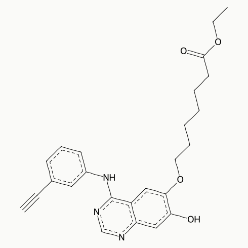 C#Cc1cccc(Nc2ncnc3cc(O)c(OCCCCCCC(=O)OCC)cc23)c1